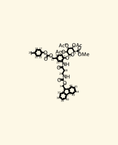 COC(=O)[C@H]1O[C@@H](Oc2ccc(COC(=O)Oc3ccc(I)cc3)cc2NC(=O)CCNC(=O)OCC2c3ccccc3-c3ccccc32)[C@H](OC(C)=O)[C@@H](OC(C)=O)[C@@H]1OC(C)=O